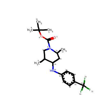 CC1CN(C(=O)OC(C)(C)C)C(C)CC1Nc1ccc(C(F)(F)F)cc1